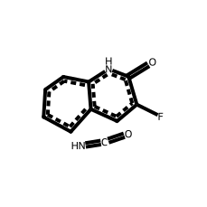 N=C=O.O=c1[nH]c2ccccc2cc1F